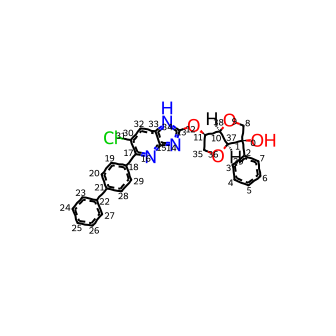 O[C@]1(c2ccccc2)CO[C@@H]2[C@H](Oc3nc4nc(-c5ccc(-c6ccccc6)cc5)c(Cl)cc4[nH]3)CO[C@@H]21